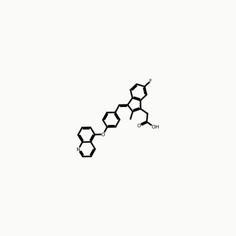 CC1=C(CC(=O)O)c2cc(F)ccc2C1=Cc1ccc(Oc2cccc3ncccc23)cc1